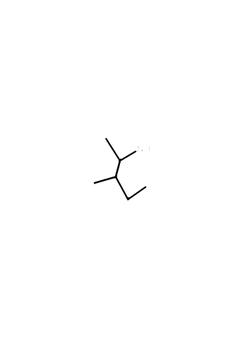 CCC(C)C(C)[NH]